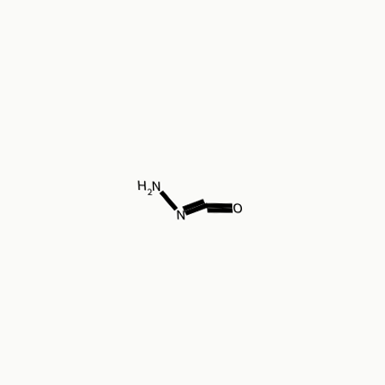 NN=C=O